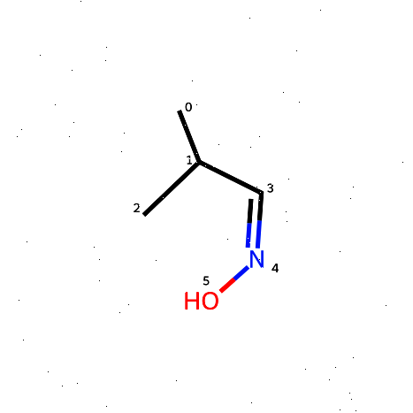 CC(C)/C=N\O